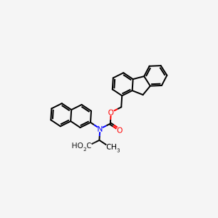 CC(C(=O)O)N(C(=O)OCc1cccc2c1Cc1ccccc1-2)c1ccc2ccccc2c1